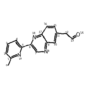 Cc1cccc(-c2cnc3cc(CC=O)ccc3n2)n1